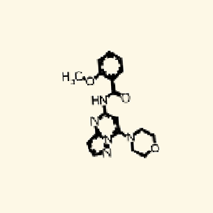 COc1ccccc1C(=O)Nc1cc(N2CCOCC2)n2nccc2n1